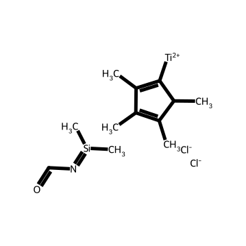 CC1=C(C)C(C)[C]([Ti+2])=C1C.C[Si](C)=NC=O.[Cl-].[Cl-]